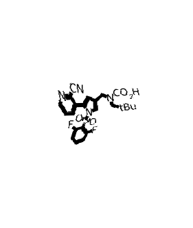 CC(C)(C)CN(Cc1cc(-c2cccnc2C#N)n(S(=O)(=O)c2c(F)cccc2F)c1)C(=O)O